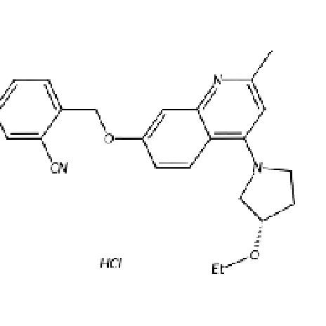 CCO[C@H]1CCN(c2cc(C)nc3cc(OCc4ccccc4C#N)ccc23)C1.Cl